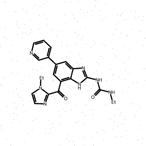 CCNC(=O)Nc1nc2cc(-c3cccnc3)cc(C(=O)c3nccn3CC)c2[nH]1